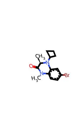 C[C@@H]1C(=O)N(C)c2ccc(Br)cc2N1C1CCC1